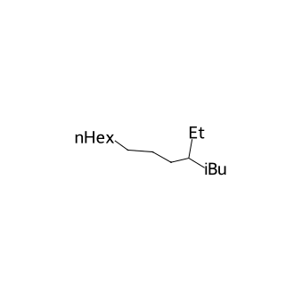 [CH2]CC(C)C(CC)CCCCCCCCC